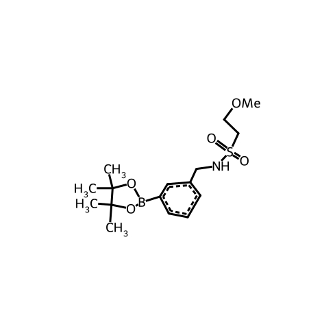 COCCS(=O)(=O)NCc1cccc(B2OC(C)(C)C(C)(C)O2)c1